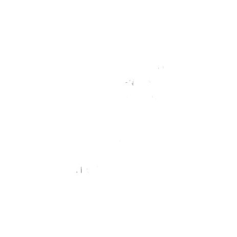 CCCC(=O)c1ccc2[nH]c(=O)sc2c1